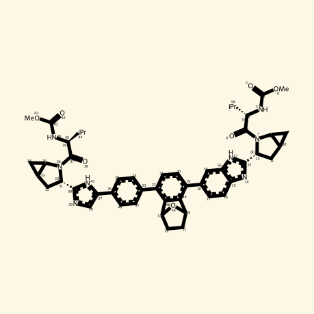 COC(=O)N[C@H](C(=O)N1C2CC2C[C@@H]1c1nc2ccc(-c3ccc(-c4ccc(-c5cnc([C@@H]6CC7CC7N6C(=O)[C@@H](NC(=O)OC)C(C)C)[nH]5)cc4)c4c3C3CCC4O3)cc2[nH]1)C(C)C